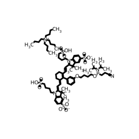 CC(C)N(C(C)C)P(CCC#N)OCCCCOc1cccc(C2=C(C=CC3=[N+](CCCCS(=O)(=O)O)c4ccc(S(=O)(=O)[O-])cc4C3(C)C)CCCC2=CC=C2N(CCCCS(=O)(=O)O)c3ccc(S(=O)(=O)[O-])cc3C2(C)C)c1.CCCC[N+](CCCC)(CCCC)CCCC